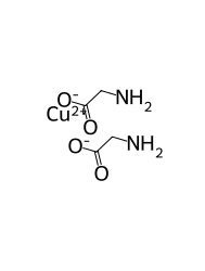 NCC(=O)[O-].NCC(=O)[O-].[Cu+2]